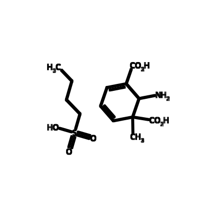 CC1(C(=O)O)C=CC=C(C(=O)O)C1N.CCCCS(=O)(=O)O